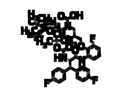 CC(C)(C)OC(=O)N[C@H](C(=O)Nc1cccc(F)c1OC[C@@H]1CN(C(=O)O)[C@H](CO[Si](C)(C)C(C)(C)C)CO1)C(c1ccc(F)cc1)c1ccc(F)cc1